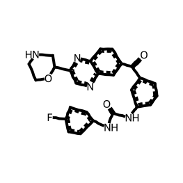 O=C(Nc1ccc(F)cc1)Nc1cccc(C(=O)c2ccc3nc(C4CNCCO4)cnc3c2)c1